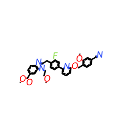 COCCn1c(Cc2ccc(-c3cccc(OCc4ccc(C#N)cc4OC)n3)cc2F)nc2ccc(C(=O)OC)cc21